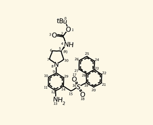 CC(C)(C)OC(=O)N[C@@H]1CCN(c2ccc(N)c(CS(=O)(=O)c3cccc4ccccc34)c2)C1